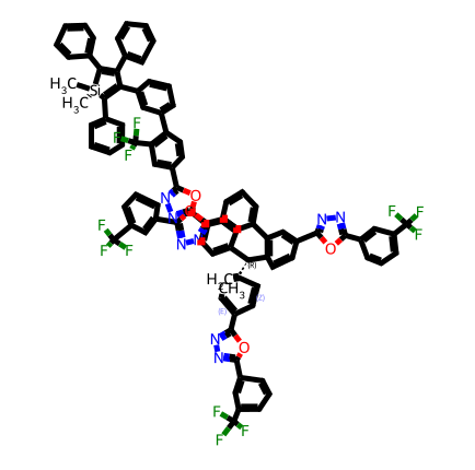 C=C(/C=C\C(=C/C)c1nnc(-c2cccc(C(F)(F)F)c2)o1)[C@H](c1ccc(-c2nnc(-c3ccc(-c4cccc(C5=C(c6ccccc6)[Si](C)(C)C(c6ccccc6)=C5c5ccccc5)c4)c(C(F)(F)F)c3)o2)cc1)c1ccc(-c2nnc(-c3cccc(C(F)(F)F)c3)o2)cc1-c1cccc(-c2nnc(-c3cccc(C(F)(F)F)c3)o2)c1